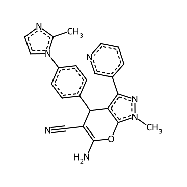 Cc1nccn1-c1ccc(C2C(C#N)=C(N)Oc3c2c(-c2cccnc2)nn3C)cc1